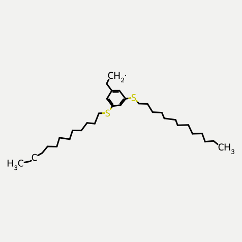 [CH2]Cc1cc(SCCCCCCCCCCCCC)cc(SCCCCCCCCCCCCC)c1